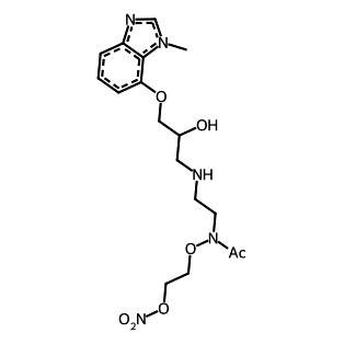 CC(=O)N(CCNCC(O)COc1cccc2ncn(C)c12)OCCO[N+](=O)[O-]